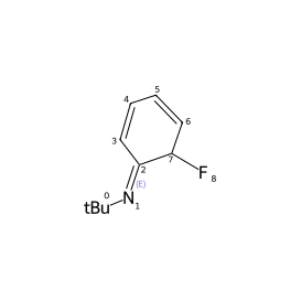 CC(C)(C)/N=C1\C=CC=CC1F